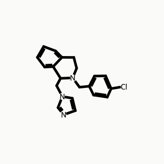 Clc1ccc(CN2CCc3ccccc3C2Cn2ccnc2)cc1